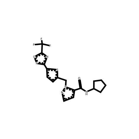 O=C(NC1CCCC1)c1ccnn1Cc1ccc(-c2noc(C(F)(F)F)n2)s1